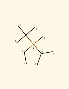 CCS(C)(C(C)C)C(C)(C)C